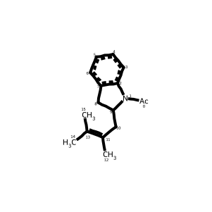 CC(=O)N1c2ccccc2CC1CC(C)=C(C)C